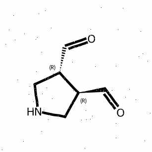 O=C[C@H]1CNC[C@@H]1C=O